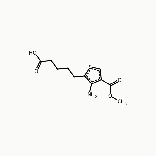 COC(=O)c1csc(CCCCC(=O)O)c1N